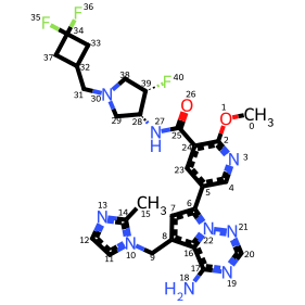 COc1ncc(-c2cc(Cn3ccnc3C)c3c(N)ncnn23)cc1C(=O)N[C@@H]1CN(CC2CC(F)(F)C2)C[C@@H]1F